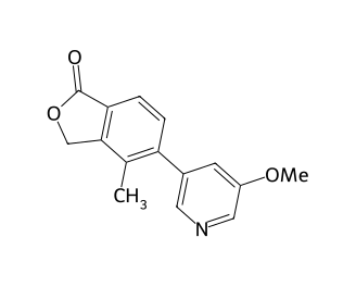 COc1cncc(-c2ccc3c(c2C)COC3=O)c1